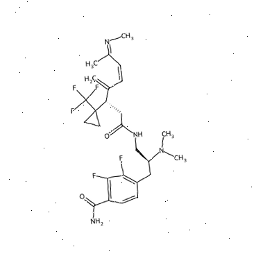 C=C(/C=C\C(C)=N/C)[C@H](CC(=O)NC[C@H](Cc1ccc(C(N)=O)c(F)c1F)N(C)C)C1(C(F)(F)F)CC1